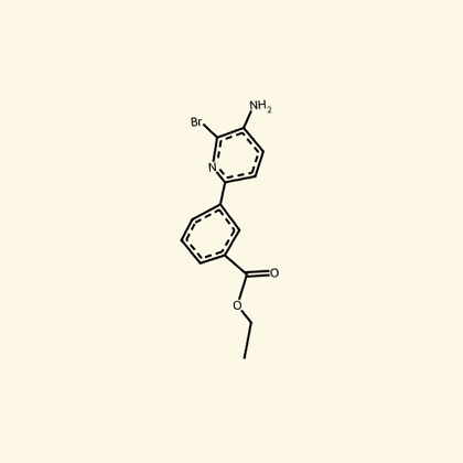 CCOC(=O)c1cccc(-c2ccc(N)c(Br)n2)c1